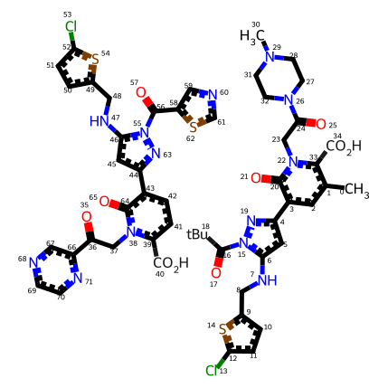 Cc1cc(-c2cc(NCc3ccc(Cl)s3)n(C(=O)C(C)(C)C)n2)c(=O)n(CC(=O)N2CCN(C)CC2)c1C(=O)O.O=C(Cn1c(C(=O)O)ccc(-c2cc(NCc3ccc(Cl)s3)n(C(=O)c3cncs3)n2)c1=O)c1cnccn1